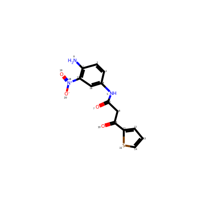 Nc1ccc(NC(=O)CC(=O)c2cccs2)cc1[N+](=O)[O-]